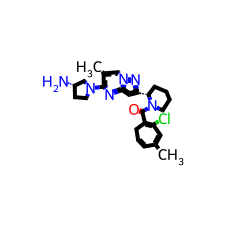 CC1=CC(Cl)=C(C(=O)N2CCCC[C@H]2c2cc3nc(N4CC[C@H](N)C4)c(C)cn3n2)CC=C1